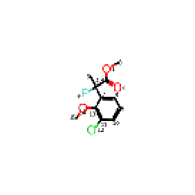 COC(=O)C(C)(F)c1cccc(Cl)c1OC